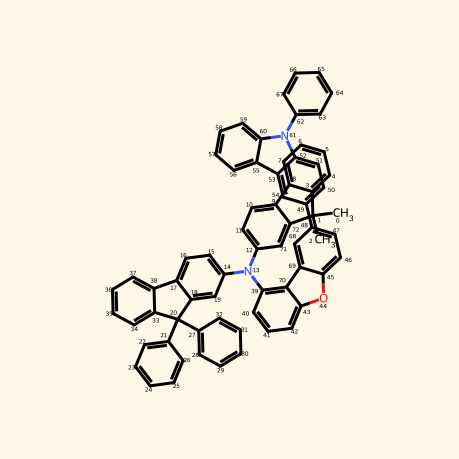 CC1(C)c2ccccc2-c2ccc(N(c3ccc4c(c3)C(c3ccccc3)(c3ccccc3)c3ccccc3-4)c3cccc4oc5ccc(-c6ccc7c(c6)c6ccccc6n7-c6ccccc6)cc5c34)cc21